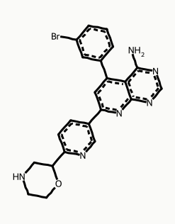 Nc1ncnc2nc(-c3ccc(C4CNCCO4)nc3)cc(-c3cccc(Br)c3)c12